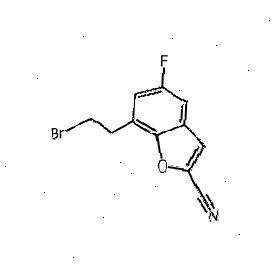 N#Cc1cc2cc(F)cc(CCBr)c2o1